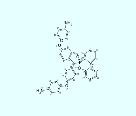 Nc1ccc(Oc2ccc(C(c3ccc(Oc4ccc(N)cc4)cc3)P3(=O)Oc4ccccc4-c4ccccc43)cc2)cc1